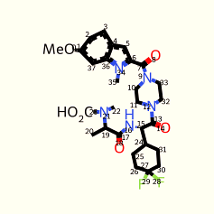 COc1ccc2cc(C(=O)N3CCN(C(=O)[C@@H](NC(=O)C(C)N(C)C(=O)O)C4CCC(F)(F)CC4)CC3)n(C)c2c1